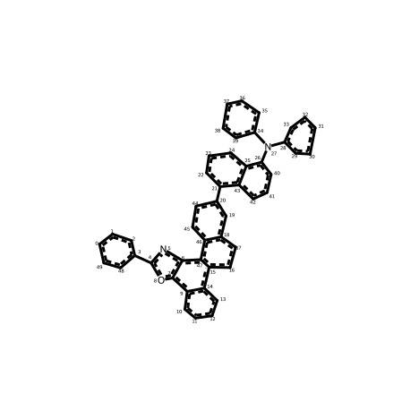 c1ccc(-c2nc3c(o2)c2ccccc2c2ccc4cc(-c5cccc6c(N(c7ccccc7)c7ccccc7)cccc56)ccc4c23)cc1